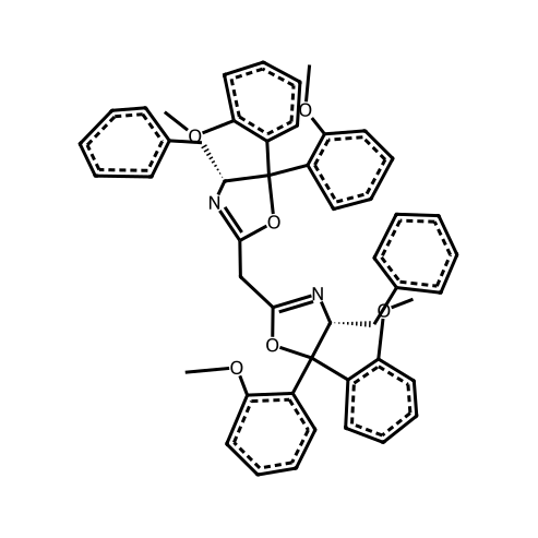 COc1ccccc1C1(c2ccccc2OC)OC(CC2=N[C@H](Cc3ccccc3)C(c3ccccc3OC)(c3ccccc3OC)O2)=N[C@@H]1Cc1ccccc1